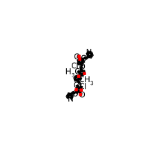 Cc1c(COc2cc(OCc3cccnc3)c(C=O)cc2Cl)cccc1-c1cccc(COc2cc(OCc3cccnc3)c(C=O)cc2Cl)c1C